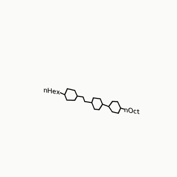 CCCCCCCCC1CCC(C2CCC(CCC3CCC(CCCCCC)CC3)CC2)CC1